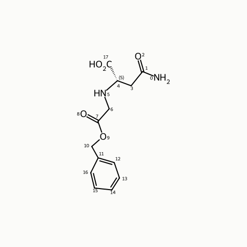 NC(=O)C[C@H](NCC(=O)OCc1ccccc1)C(=O)O